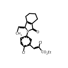 CC=C1C2=C(CCCC2)C(=O)N1c1ccc(Cl)c(C=C(Cl)C(=O)OCC)c1